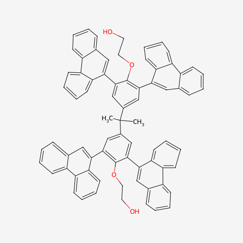 CC(C)(c1cc(-c2cc3ccccc3c3ccccc23)c(OCCO)c(-c2cc3ccccc3c3ccccc23)c1)c1cc(-c2cc3ccccc3c3ccccc23)c(OCCO)c(-c2cc3ccccc3c3ccccc23)c1